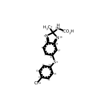 CC1(NC(=O)O)N=c2ccc(Sc3ccc(Cl)cc3)cc2=N1